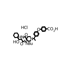 CCCCN1C(=O)[C@@H]([C@H](O)C2CCCCC2)NC(=O)C12CCN(C(C)c1ccc(Oc3ccc(C(=O)O)cc3)cc1)CC2.Cl